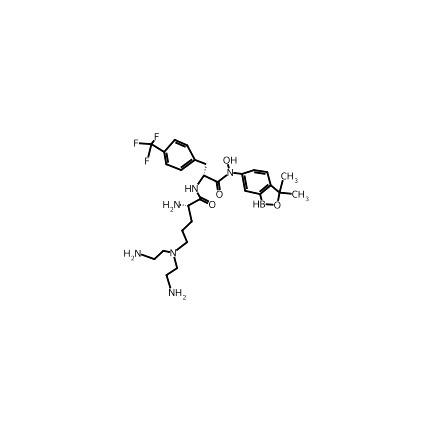 CC1(C)OBc2cc(N(O)C(=O)[C@@H](Cc3ccc(C(F)(F)F)cc3)NC(=O)[C@@H](N)CCCN(CCN)CCN)ccc21